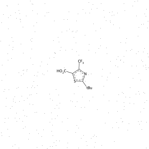 CC(C)(C)c1nc(C(F)(F)F)c(C(=O)O)s1